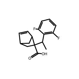 CC(c1c(F)cccc1F)C1(C(=O)O)CC2C=CC1C2